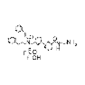 NCCNC(=O)c1cccc(-c2cccc(CN(CCCc3ccccc3)C(=O)C=Cc3ccccc3)c2)c1.O=C(O)C(F)(F)F